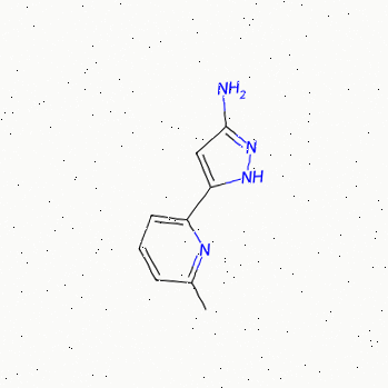 Cc1cccc(-c2cc(N)n[nH]2)n1